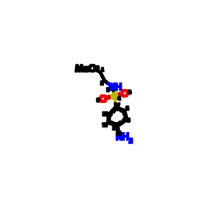 COCCNS(=O)(=O)c1ccc(N)cc1